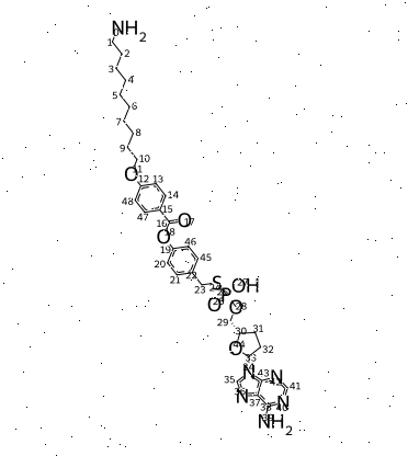 NCCCCCCCCCCOc1ccc(C(=O)Oc2ccc(CSP(=O)(O)OC[C@@H]3CC[C@H](n4cnc5c(N)ncnc54)O3)cc2)cc1